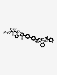 COC(=O)NC(C(=O)N1CCC[C@H]1c1ncc(-c2ccc(-c3ccc(-c4cnc([C@H]5CCCC[C@@H]5C(=O)NC5(c6cccnc6)CC5)[nH]4)cc3)cc2)[nH]1)C(C)C